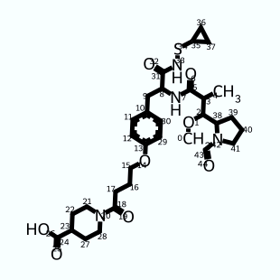 COC(C(C)C(=O)NC(Cc1ccc(OCCCC(=O)N2CCC(C(=O)O)CC2)cc1)C(=O)NSC1CC1)C1CCCN1C=O